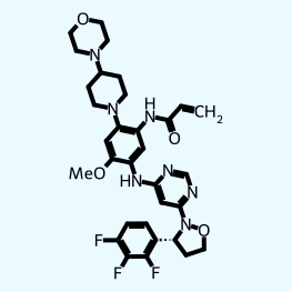 C=CC(=O)Nc1cc(Nc2cc(N3OCC[C@@H]3c3ccc(F)c(F)c3F)ncn2)c(OC)cc1N1CCC(N2CCOCC2)CC1